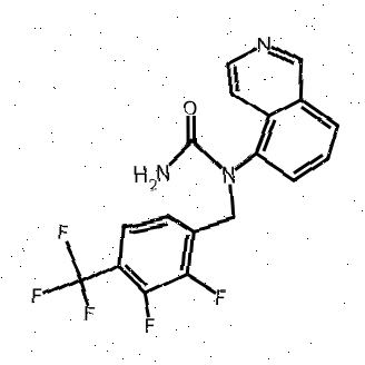 NC(=O)N(Cc1ccc(C(F)(F)F)c(F)c1F)c1cccc2cnccc12